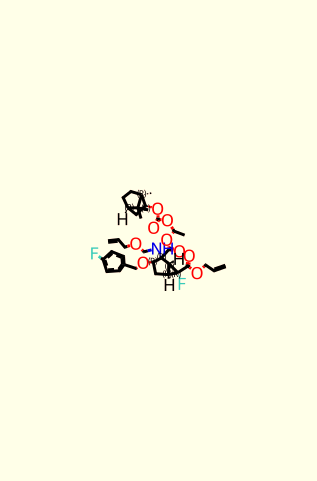 C=CCOCN[C@@]1(C(=O)OC(C)OC(=O)O[C@H]2C[C@H]3CC[C@]2(C)C3(C)C)[C@H](OCc2ccc(F)cc2)C[C@@H]2[C@H]1[C@@]2(F)C(=O)OCC=C